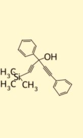 C[Si](C)(C)C#CC(O)(C#Cc1ccccc1)c1ccccc1